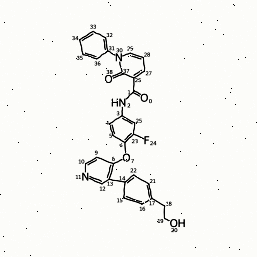 O=C(Nc1ccc(Oc2ccncc2-c2ccc(CCO)cc2)c(F)c1)c1cccn(-c2ccccc2)c1=O